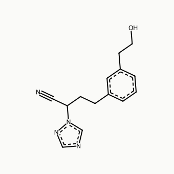 N#CC(CCc1cccc(CCO)c1)n1cncn1